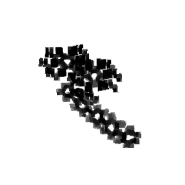 Bc1c(B)c(B)c(-c2nc(-c3c(B)c(B)c(B)c(B)c3B)nc(-c3cccc4c3oc3cc(-c5ccc(-c6ccc(-c7ccccc7)cc6)cc5)ccc34)n2)c(B)c1B